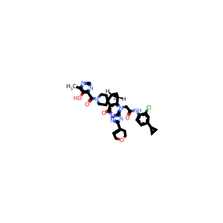 Cc1ncnc(C(=O)N2CCC3(CC2)c2c(n(CC(=O)Nc4ccc(C5CC5)cc4Cl)c4nc(C5=CCOCC5)nn4c2=O)[C@H]2C[C@H]23)c1O